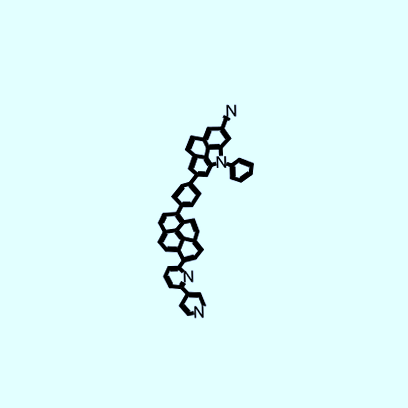 N#Cc1cc2ccc3cc(-c4ccc(-c5ccc6ccc7c(-c8cccc(-c9ccncc9)n8)ccc8ccc5c6c87)cc4)cc4c3c2c(c1)n4-c1ccccc1